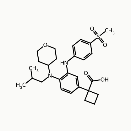 CC(C)CN(c1ccc(C2(C(=O)O)CCC2)cc1Nc1ccc(S(C)(=O)=O)cc1)C1CCOCC1